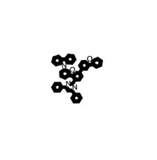 c1ccc(-c2cc(-c3ccccc3)nc(-c3ccc(-c4ccc5oc6ccccc6c5c4)c4oc5c(-n6c7ccccc7c7ccccc76)cccc5c34)n2)cc1